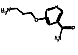 NCCCOc1cncc(C(N)=O)c1